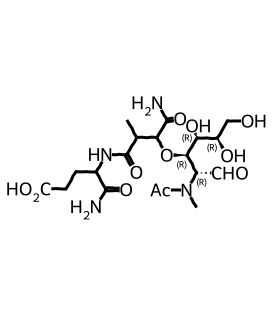 CC(=O)N(C)[C@@H](C=O)[C@@H](OC(C(N)=O)C(C)C(=O)NC(CCC(=O)O)C(N)=O)[C@H](O)[C@H](O)CO